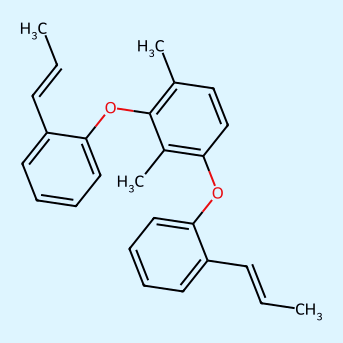 CC=Cc1ccccc1Oc1ccc(C)c(Oc2ccccc2C=CC)c1C